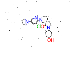 O=C1N([C@H]2CC[C@H](O)CC2)CC[C@]12CCCN(c1ncc(N3CCCC3)cc1Cl)C2